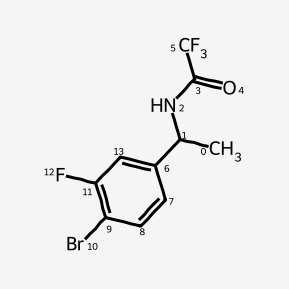 CC(NC(=O)C(F)(F)F)c1ccc(Br)c(F)c1